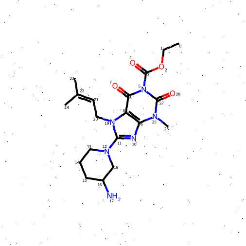 CCOC(=O)n1c(=O)c2c(nc(N3CCCC(N)C3)n2CC=C(C)C)n(C)c1=O